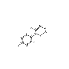 CC1=NCCCN1c1ccc(C)cc1